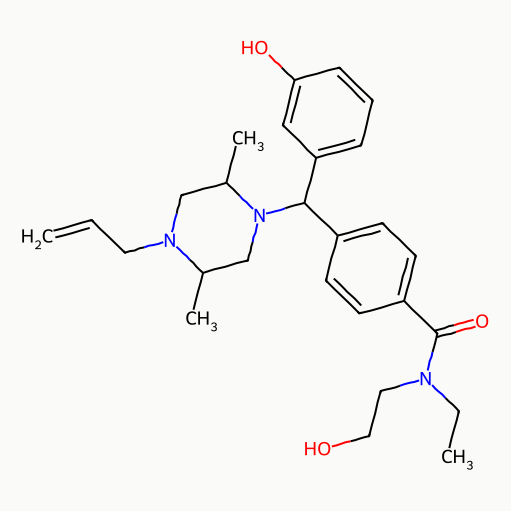 C=CCN1CC(C)N(C(c2ccc(C(=O)N(CC)CCO)cc2)c2cccc(O)c2)CC1C